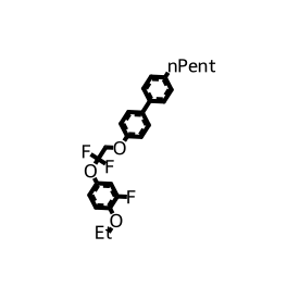 CCCCCc1ccc(-c2ccc(OCC(F)(F)Oc3ccc(OCC)c(F)c3)cc2)cc1